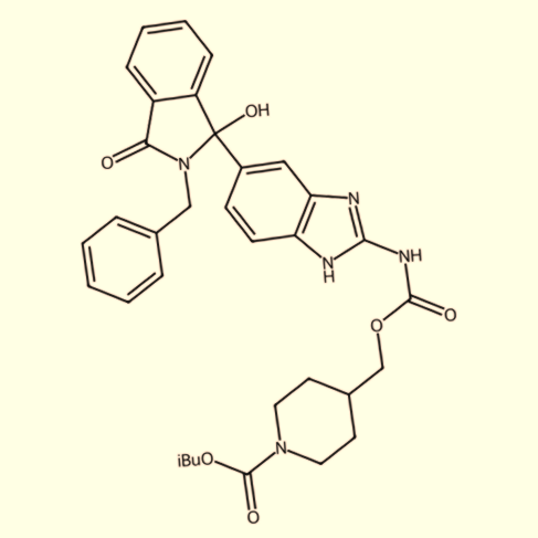 CC(C)COC(=O)N1CCC(COC(=O)Nc2nc3cc(C4(O)c5ccccc5C(=O)N4Cc4ccccc4)ccc3[nH]2)CC1